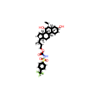 CC[C@H]1[C@@H](O)[C@@H]2[C@H](CC[C@]3(C)[C@@H]([C@H](C)CCOC(=O)NS(=O)(=O)c4ccc(C(F)(F)F)cc4)CC[C@@H]23)[C@@]2(C)CC[C@@H](O)C[C@@H]12